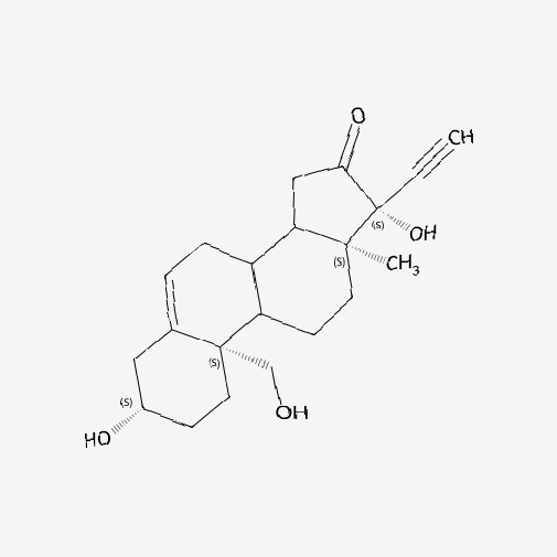 C#C[C@]1(O)C(=O)CC2C3CC=C4C[C@@H](O)CC[C@]4(CO)C3CC[C@@]21C